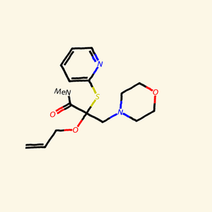 C=CCOC(CN1CCOCC1)(Sc1ccccn1)C(=O)NC